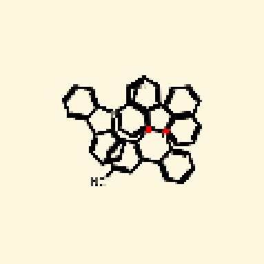 N#Cc1ccc(-n2c3ccccc3c3cccc(-n4c5ccccc5c5ccccc54)c32)c(-c2ccccc2-n2c3ccccc3c3c(C#N)cccc32)c1